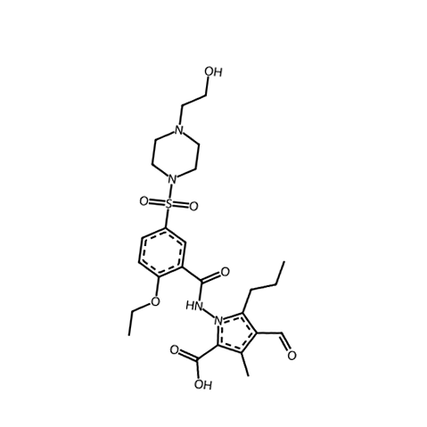 CCCc1c(C=O)c(C)c(C(=O)O)n1NC(=O)c1cc(S(=O)(=O)N2CCN(CCO)CC2)ccc1OCC